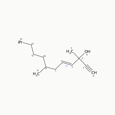 C#CC(C)(O)/C=C/CC(C)CCCC(C)C